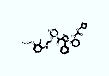 COc1cccc(NCC[C@@H]2CNCCN2C(=O)c2ncn([C@H]3CCCC[C@@H]3NC(=O)OC3CCC3)c2-c2ccccc2)c1F